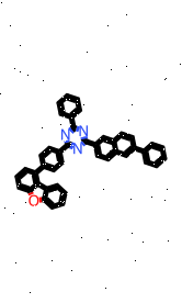 c1ccc(-c2ccc3cc(-c4nc(-c5ccccc5)nc(-c5ccc(-c6cccc7oc8ccccc8c67)cc5)n4)ccc3c2)cc1